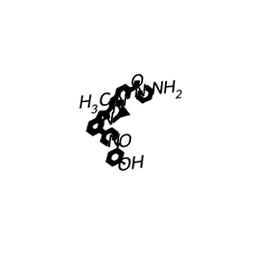 Cc1c(-c2cc3cccc(C4CCN(C(=O)[C@@H]5CCC[C@H](O)C5)CC4)c3n2CC2CC2)nn2cc(C(=O)N3CCC[C@@H](N)C3)ccc12